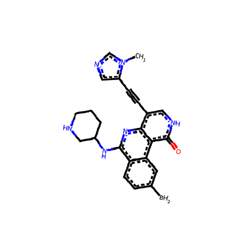 Bc1ccc2c(NC3CCCNC3)nc3c(C#Cc4cncn4C)c[nH]c(=O)c3c2c1